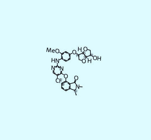 COc1cc(O[C@@H]2CO[C@H]3[C@@H]2OC[C@H]3O)ccc1Nc1ncc(C(F)(F)F)c(Oc2cccc3c2C(=O)N(C)[C@H]3C)n1